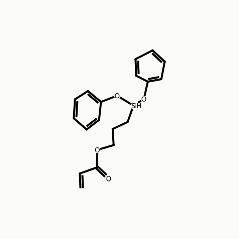 C=CC(=O)OCCC[SiH](Oc1ccccc1)Oc1ccccc1